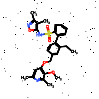 CCc1cc(COc2cc(C)nc(C)c2OC)ccc1-c1ccccc1S(=O)(=O)Nc1onc(C)c1C